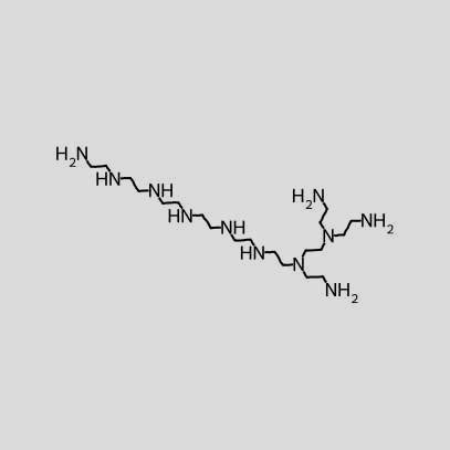 NCCNCCNCCNCCNCCNCCN(CCN)CCN(CCN)CCN